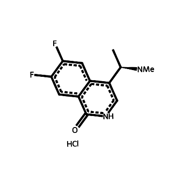 CN[C@H](C)c1c[nH]c(=O)c2cc(F)c(F)cc12.Cl